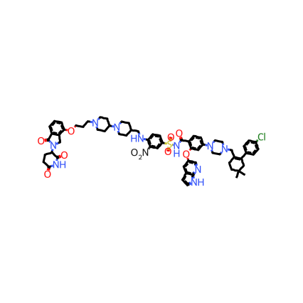 CC1(C)CCC(CN2CCN(c3ccc(C(=O)NS(=O)(=O)c4ccc(NCC5CCN(C6CCN(CCCOc7cccc8c7CN(C7CCC(=O)NC7=O)C8=O)CC6)CC5)c([N+](=O)[O-])c4)c(Oc4cnc5[nH]ccc5c4)c3)CC2)=C(c2ccc(Cl)cc2)C1